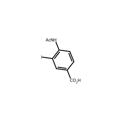 CC(=O)Nc1ccc(C(=O)O)cc1I